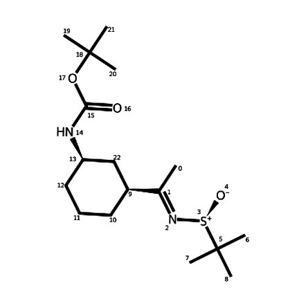 C/C(=N\[S@@+]([O-])C(C)(C)C)[C@H]1CCC[C@@H](NC(=O)OC(C)(C)C)C1